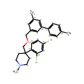 CN1CCC(COCc2cc(-c3ccc(C#N)cc3)cc(C(F)(F)F)c2)(c2ccc(F)cc2F)CC1